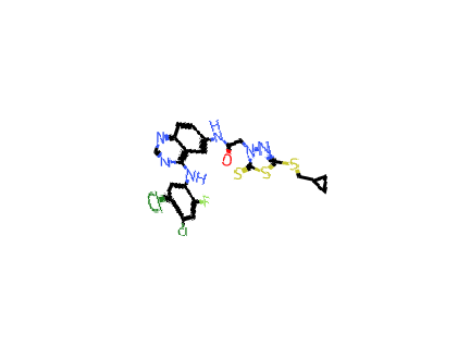 O=C(Cn1nc(SCC2CC2)sc1=S)Nc1ccc2ncnc(Nc3cc(Cl)c(Cl)cc3F)c2c1